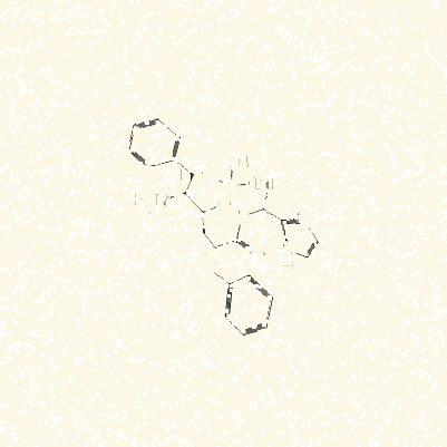 CC(C)[C@H](NC(=O)[C@H](Cc1ccccc1)C[C@H](O[Si](C)(C)C(C)(C)C)[C@@H](N)Cc1ccccc1)c1ncc[nH]1